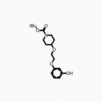 CC(C)(C)OC(=O)N1CCC(OCCOc2cccc(O)c2)CC1